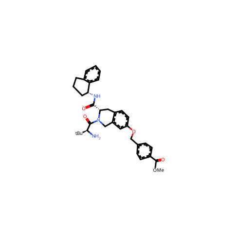 COC(=O)c1ccc(COc2ccc3c(c2)CN(C(=O)[C@@H](N)C(C)(C)C)[C@H](C(=O)N[C@@H]2CCCc4ccccc42)C3)cc1